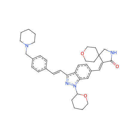 O=C1NCC2(CCOCC2)/C1=C\c1ccc2c(/C=C/c3ccc(CN4CCCCC4)cc3)nn(C3CCCCO3)c2c1